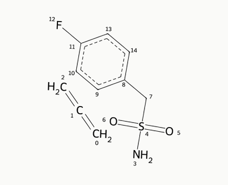 C=C=C.NS(=O)(=O)Cc1ccc(F)cc1